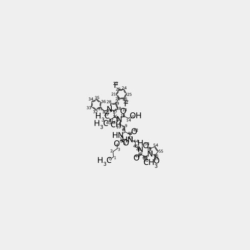 CCCCOC(=O)NC(CCN(C(=O)CO)C(c1cc(-c2cc(F)ccc2F)cn1Cc1ccccc1)C(C)(C)C)C(=O)NCCNC(=O)[C@@H](C)N1C(=O)C=CC1=O